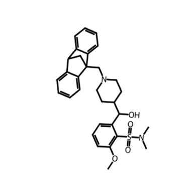 COc1cccc(C(O)C2CCN(CC34CC(c5ccccc53)c3ccccc34)CC2)c1S(=O)(=O)N(C)C